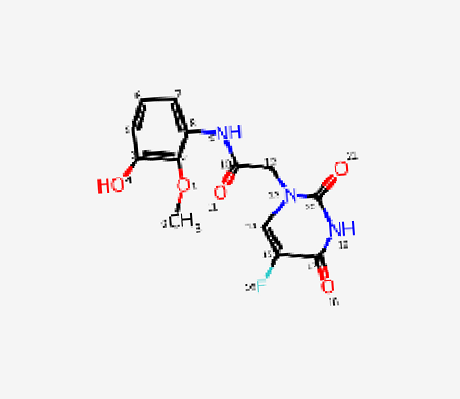 COc1c(O)cccc1NC(=O)Cn1cc(F)c(=O)[nH]c1=O